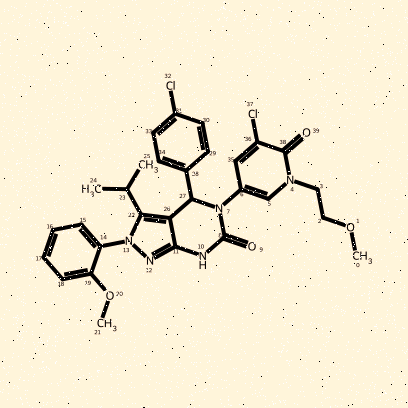 COCCn1cc(N2C(=O)Nc3nn(-c4ccccc4OC)c(C(C)C)c3C2c2ccc(Cl)cc2)cc(Cl)c1=O